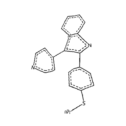 CCCSc1ccc(-c2nc3ccccn3c2-c2ccncc2)cc1